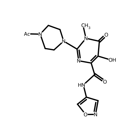 CC(=O)N1CCN(c2nc(C(=O)Nc3cnoc3)c(O)c(=O)n2C)CC1